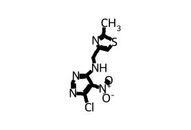 Cc1nc(CNc2ncnc(Cl)c2[N+](=O)[O-])cs1